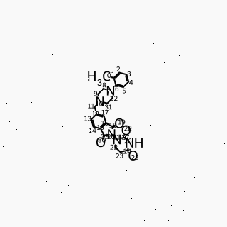 Cc1ccccc1N1CCN(Cc2ccc3c(c2)C(=O)N(N2CCC(=O)NC2=O)C3=O)CC1